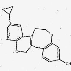 Oc1ccc2c(c1)OCCC1=C2COc2ccc(C3CC3)cc21